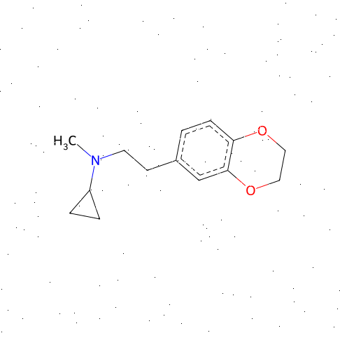 CN(CCc1ccc2c(c1)OCCO2)C1CC1